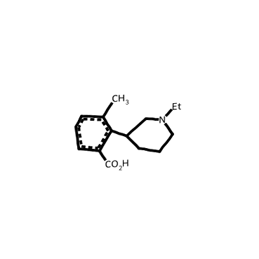 CCN1CCCC(c2c(C)cccc2C(=O)O)C1